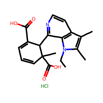 CCn1c(C)c(C)c2ccnc(C3C(C(=O)O)=CC=CC3(C)C(=O)O)c21.Cl